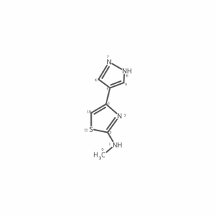 CNc1nc(-c2cn[nH]c2)cs1